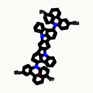 CC(C)c1ccc(N(c2ccc(C(C)(C)C)cc2-c2ccccc2)c2ccc3c4cc5c(cc4n4c6ccccc6c2c34)c2ccc(N(c3ccc(C(C)C)cc3)c3ccc(C(C)(C)C)cc3-c3ccccc3)c3c4ccccc4n5c23)cc1